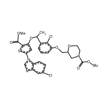 COC(=O)c1sc(-n2cnc3cc(Cl)ccc32)cc1OC(C)c1cccc(OCC2CN(C(=O)OC(C)(C)C)CCO2)c1Cl